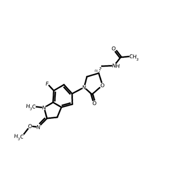 CON=C1Cc2cc(N3C[C@H](CNC(C)=O)OC3=O)cc(F)c2N1C